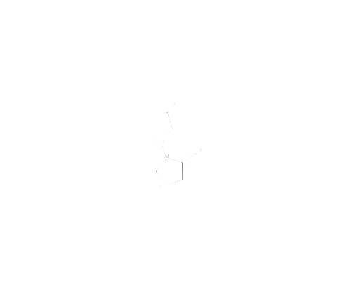 O=CCCOC1COCC1I